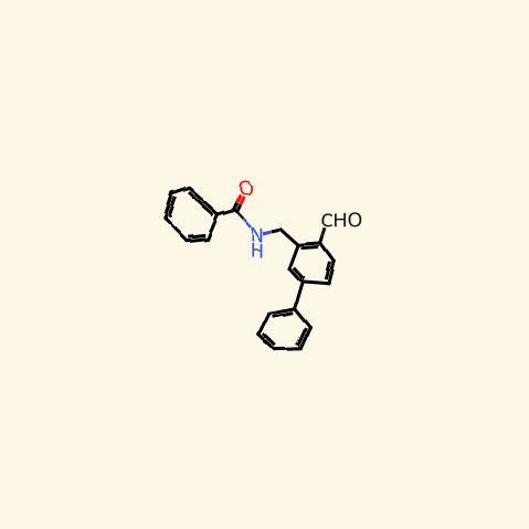 O=Cc1ccc(-c2ccccc2)cc1CNC(=O)c1ccccc1